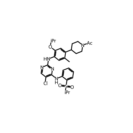 [CH2]C(=O)N1CCC(c2cc(OC(C)C)c(Nc3ncc(Cl)c(Nc4ccccc4S(=O)(=O)C(C)C)n3)cc2C)CC1